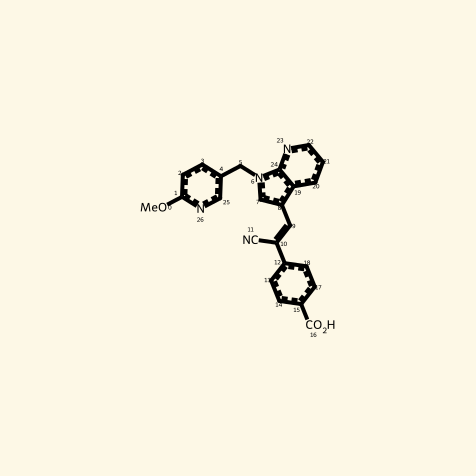 COc1ccc(Cn2cc(/C=C(\C#N)c3ccc(C(=O)O)cc3)c3cccnc32)cn1